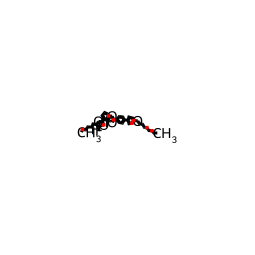 CCCCCCCCOc1ccc(-c2ccc(C(=O)Oc3cccc(C(=O)OC(CCCCCC)C(F)(F)F)c3F)cc2)cc1